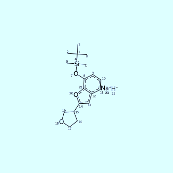 CC(C)(C)[Si](C)(C)Oc1cccc2cc(C3CCOC3)oc12.[H-].[Na+]